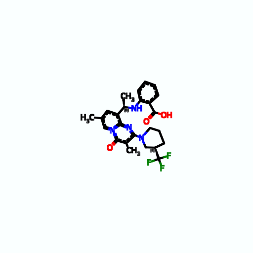 Cc1cc([C@@H](C)Nc2ccccc2C(=O)O)c2nc(N3CCC[C@@H](C(F)(F)F)C3)c(C)c(=O)n2c1